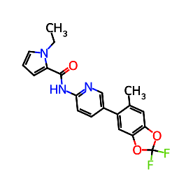 CCn1cccc1C(=O)Nc1ccc(-c2cc3c(cc2C)OC(F)(F)O3)cn1